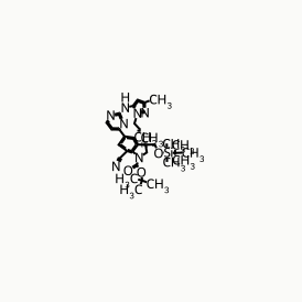 C=CCn1nc(C)cc1Nc1nccc(-c2cc(C#N)c3c(c2)[C@@](C)(CO[Si](C)(C)C(C)(C)C)CN3C(=O)OC(C)(C)C)n1